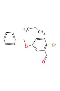 CCC.O=Cc1cc(OCc2ccccc2)ccc1Br